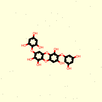 Oc1cc(O)cc(Oc2c(O)cc3c(c2O)Oc2cc(Oc4c(O)cc(O)cc4O)c(O)c(O)c2O3)c1